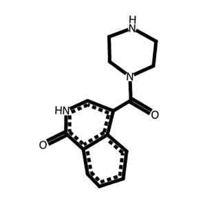 O=C(c1c[nH]c(=O)c2ccccc12)N1CCNCC1